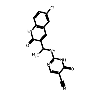 CC(Nc1ncc(C#N)c(=O)[nH]1)c1cc2cc(Cl)ccc2[nH]c1=O